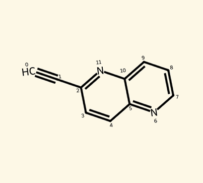 C#Cc1ccc2ncccc2n1